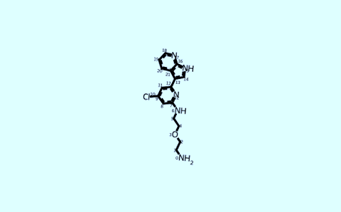 NCCOCCNc1cc(Cl)cc(-c2c[nH]c3ncccc23)n1